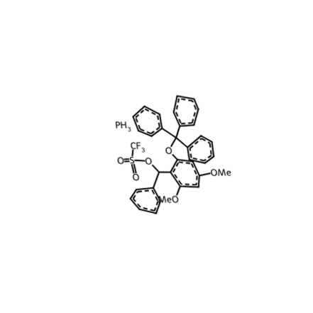 COc1cc(OC)c(C(OS(=O)(=O)C(F)(F)F)c2ccccc2)c(OC(c2ccccc2)(c2ccccc2)c2ccccc2)c1.P